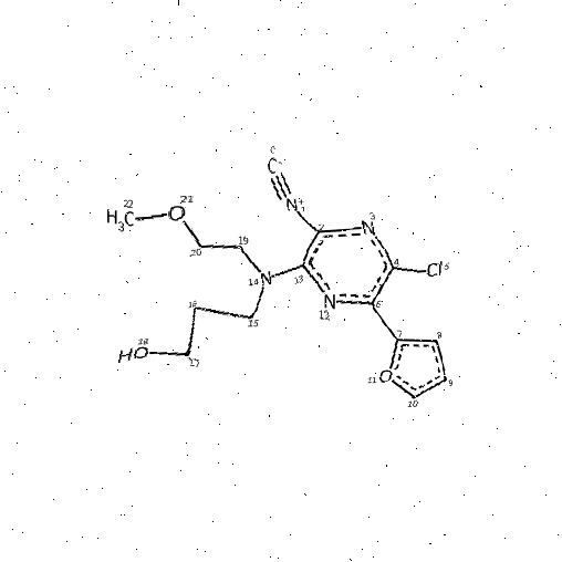 [C-]#[N+]c1nc(Cl)c(-c2ccco2)nc1N(CCCO)CCOC